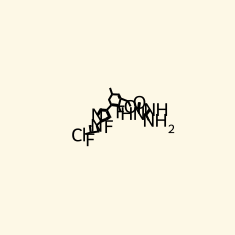 CC1C=C(COC(=O)NC(=N)N)C(F)=C(c2cnc(N3CC(F)(Cl)C3)c(F)c2)C1